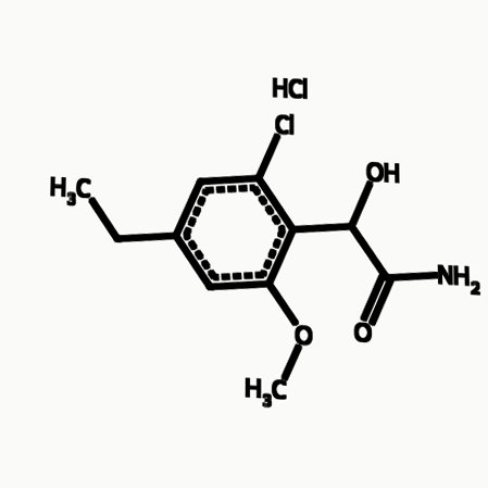 CCc1cc(Cl)c(C(O)C(N)=O)c(OC)c1.Cl